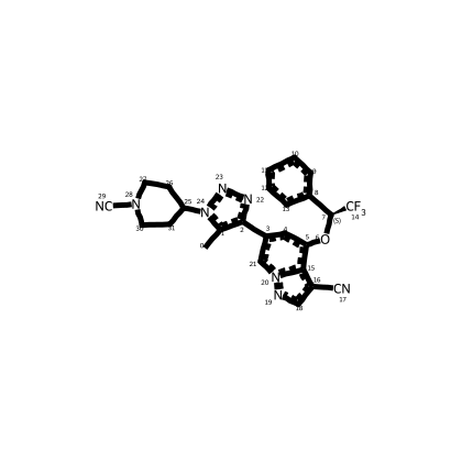 Cc1c(-c2cc(O[C@@H](c3ccccc3)C(F)(F)F)c3c(C#N)cnn3c2)nnn1C1CCN(C#N)CC1